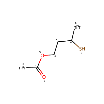 CCCC(=O)OCCC(S)CCC